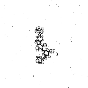 CC(C)(C)OC(=O)N1CCc2c(C(=O)Nc3cc(CN4CCOCC4)cc(C(F)(F)F)c3)csc2C1